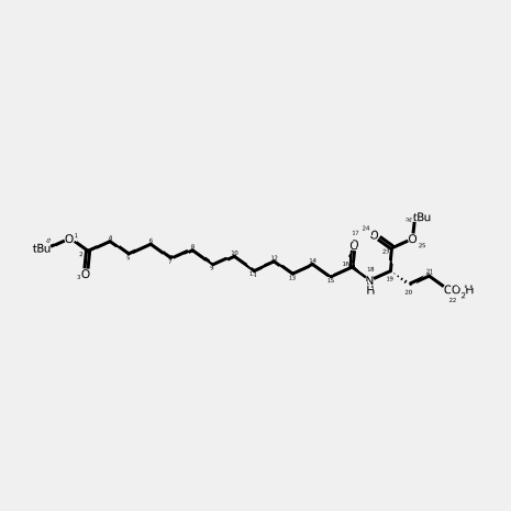 CC(C)(C)OC(=O)CCCCCCCCCCCCC(=O)N[C@@H](CCC(=O)O)C(=O)OC(C)(C)C